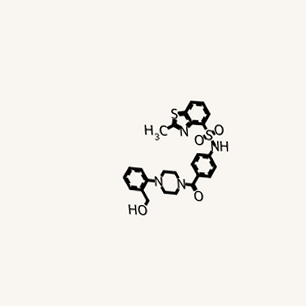 Cc1nc2c(S(=O)(=O)Nc3ccc(C(=O)N4CCN(c5ccccc5CO)CC4)cc3)cccc2s1